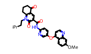 COc1ccc2c(Oc3ccc(NC(=O)c4cc5c(n(CCC(C)C)c4=O)CCCC5=O)nc3)ccnc2c1